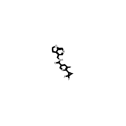 O=C(NCc1cncc2c1CCO2)c1cnc(C2CC2(F)F)c(F)c1